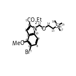 CCOC(=O)c1cc2c(OC)c(Br)ccc2n1COCC[Si](C)(C)C